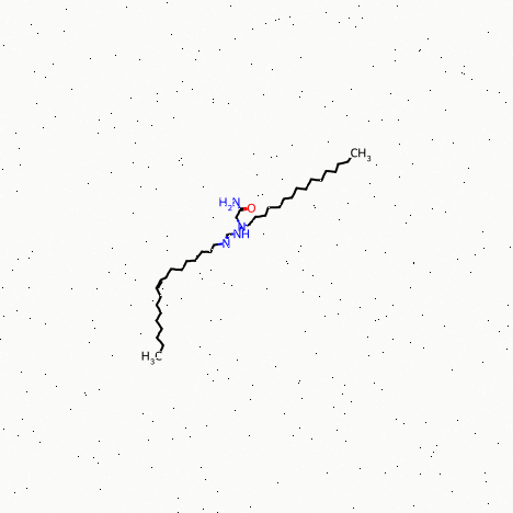 CCCCCCCC/C=C\CCCCCCCCN=CNN(CCCCCCCCCCCCCCCC)CC(N)=O